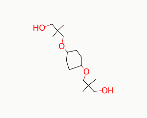 CC(C)(CO)COC1CCC(OCC(C)(C)CO)CC1